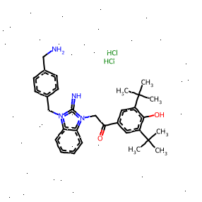 CC(C)(C)c1cc(C(=O)Cn2c(=N)n(Cc3ccc(CN)cc3)c3ccccc32)cc(C(C)(C)C)c1O.Cl.Cl